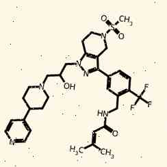 CC(C)=CC(=O)NCc1cc(-c2nn(CC(O)CN3CCC(c4ccncc4)CC3)c3c2CN(S(C)(=O)=O)CC3)ccc1C(F)(F)F